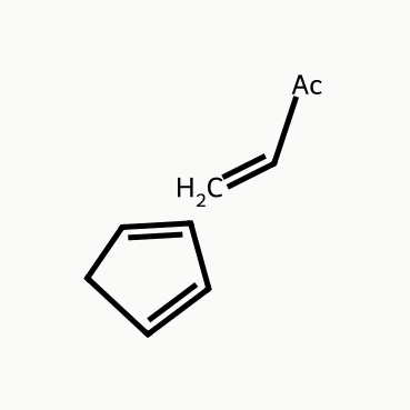 C1=CCC=C1.C=CC(C)=O